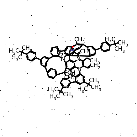 C=CC1=C(CC)N2C(=C)/C(=C\CC)C3(C)c4ccc(cc4)-c4cc(-c5ccc(C(C)(C)C)cc5)cc(c4)-c4cccc5c6cccc7c6n(c45)-c4c(c5c(c2c43)B1c1cc(C(C)(C)C)cc2c3cc(C(C)(C)C)ccc3n-5c12)C(C)(C)c1ccc(cc1)-c1cc(-c2ccc(C(C)(C)C)cc2)cc-7c1